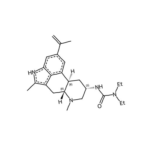 C=C(C)c1cc2c3c(c(C)[nH]c3c1)C[C@@H]1[C@@H]2C[C@H](NC(=O)N(CC)CC)CN1C